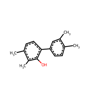 Cc1ccc(-c2ccc(C)c(C)c2O)cc1C